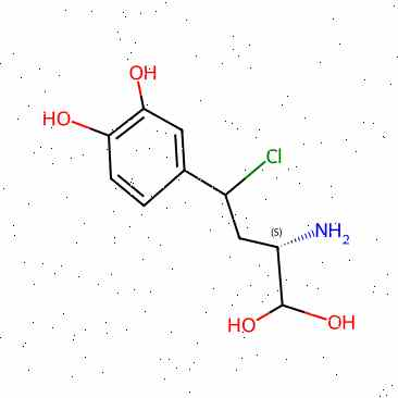 N[C@@H](CC(Cl)c1ccc(O)c(O)c1)C(O)O